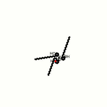 CCCCCCCCCCCCCCCCc1c(O)cccc1OP(Oc1cccc(O)c1CCCCCCCCCCCCCCCC)Oc1cccc(O)c1CCCCCCCCCCCCCCCC